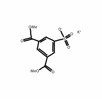 COC(=O)c1cc(C(=O)OC)cc(S(=O)(=O)[O-])c1.[K+]